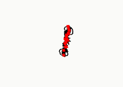 C=C(C)C(=O)Oc1ccc(-c2ccc(CCC3CCC(c4ccc(OC(=O)C(=C)C)cc4)CC3)c(F)c2)cc1